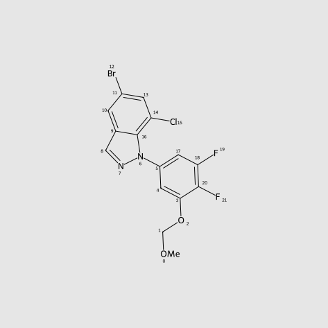 COCOc1cc(-n2ncc3cc(Br)cc(Cl)c32)cc(F)c1F